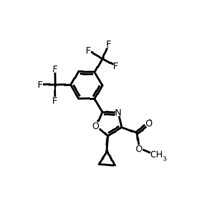 COC(=O)c1nc(-c2cc(C(F)(F)F)cc(C(F)(F)F)c2)oc1C1CC1